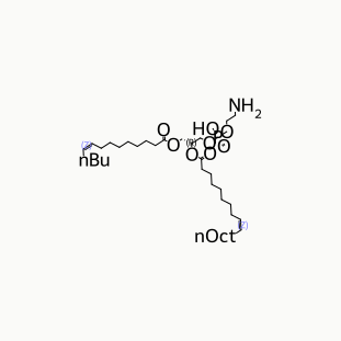 CCCC/C=C\CCCCCCCC(=O)OC[C@H](COP(=O)(O)OCCN)OC(=O)CCCCCCC/C=C\CCCCCCCC